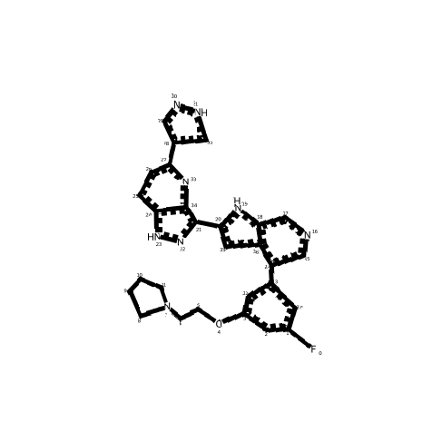 Fc1cc(OCCN2CCCC2)cc(-c2cncc3[nH]c(-c4n[nH]c5ccc(-c6cn[nH]c6)nc45)cc23)c1